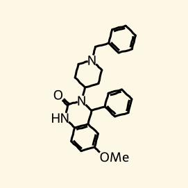 COc1ccc2c(c1)C(c1ccccc1)N(C1CCN(Cc3ccccc3)CC1)C(=O)N2